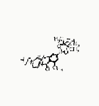 Cc1cc(B2OC(C)(C)C(C)(C)O2)cc(C)c1C(=O)N1CCN(C)CC1